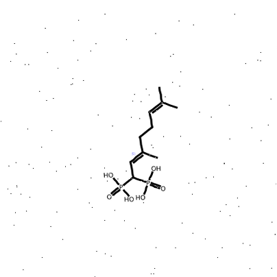 CC(C)=CCC/C(C)=C/C(P(=O)(O)O)P(=O)(O)O